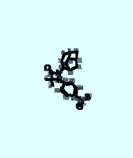 CC1(C)C(=O)N(C2CCC3CC4CC2CC34)N1c1ccc([N+](=O)[O-])cc1